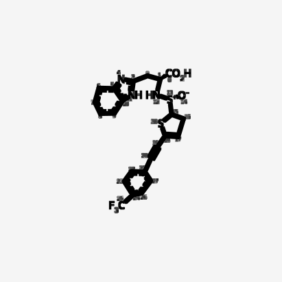 O=C(O)[C@H](Cc1nc2ccccc2[nH]1)N[S+]([O-])C1CC=C(C#Cc2ccc(C(F)(F)F)cc2)S1